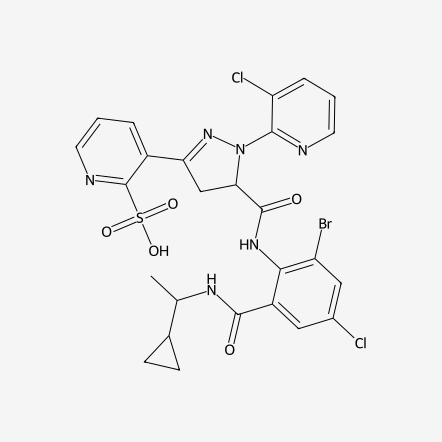 CC(NC(=O)c1cc(Cl)cc(Br)c1NC(=O)C1CC(c2cccnc2S(=O)(=O)O)=NN1c1ncccc1Cl)C1CC1